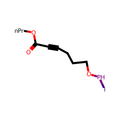 CCCOC(=O)C#CCCCOPI